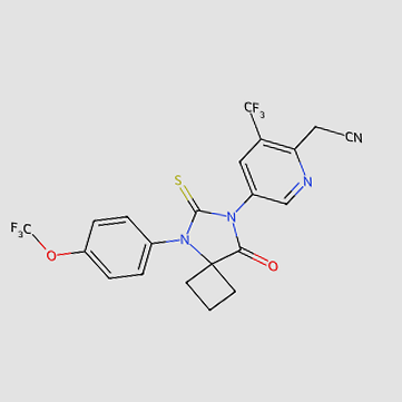 N#CCc1ncc(N2C(=O)C3(CCC3)N(c3ccc(OC(F)(F)F)cc3)C2=S)cc1C(F)(F)F